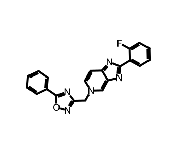 Fc1ccccc1-c1nc2ccn(Cc3noc(-c4ccccc4)n3)cc-2n1